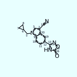 N#Cc1cn(CC2CC2)c2ccc(-c3noc(=O)[nH]3)cc12